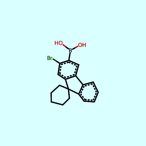 OB(O)c1cc2c(cc1Br)C1(CCCCC1)c1ccccc1-2